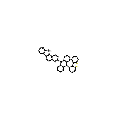 CC1(C)c2ccccc2-c2ccc3cc(-c4c5ccccc5c(-c5cccc6sc7ccccc7c56)c5ccccc45)ccc3c21